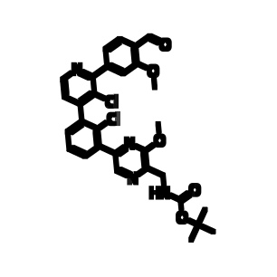 COc1cc(-c2nccc(-c3cccc(-c4cnc(CNC(=O)OC(C)(C)C)c(OC)n4)c3Cl)c2Cl)ccc1C=O